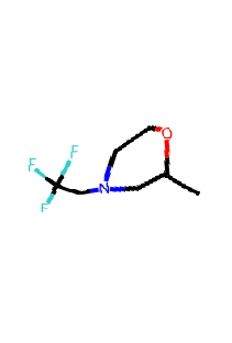 CC1CN(CC(F)(F)F)CCO1